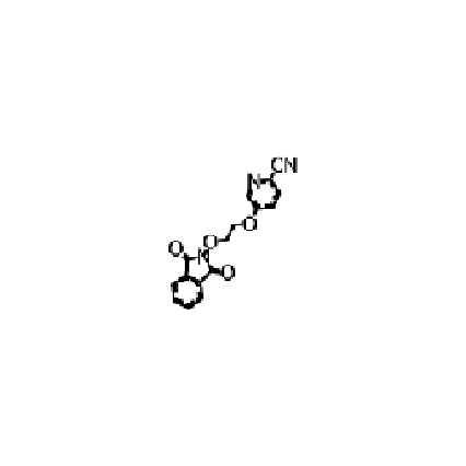 N#Cc1ccc(OCCON2C(=O)c3ccccc3C2=O)cn1